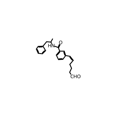 CC(Cc1ccccc1)NC(=O)c1cccc(/C=C\CCCC=O)c1